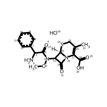 CON(C(=O)C(N)c1ccccc1)C1C(=O)N2C(C(=O)O)=C(C)CS[C@H]12.Cl